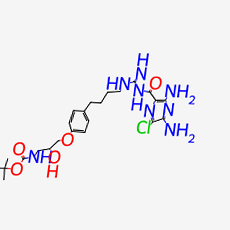 CC(C)(C)OC(=O)NCC(O)COc1ccc(CCCCNC(=N)NC(=O)c2nc(Cl)c(N)nc2N)cc1